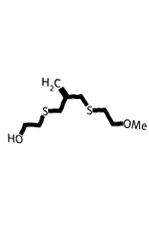 C=C(CSCCO)CSCCOC